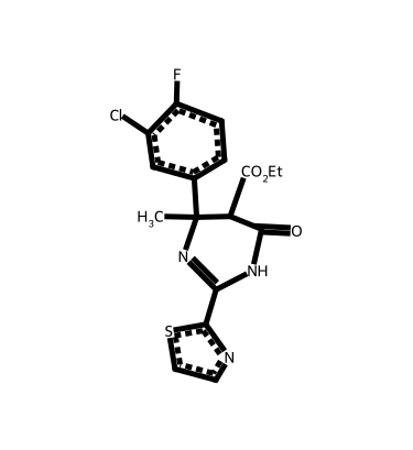 CCOC(=O)C1C(=O)NC(c2nccs2)=NC1(C)c1ccc(F)c(Cl)c1